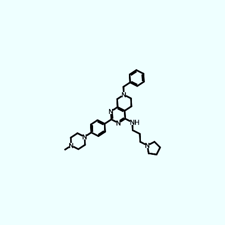 CN1CCN(c2ccc(-c3nc4c(c(NCCCN5CCCC5)n3)CCN(Cc3ccccc3)C4)cc2)CC1